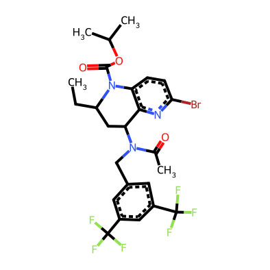 CCC1CC(N(Cc2cc(C(F)(F)F)cc(C(F)(F)F)c2)C(C)=O)c2nc(Br)ccc2N1C(=O)OC(C)C